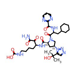 CC(C)(O)c1cnnn1[C@H]1C[C@@H](C(=O)NC(CCCCNC(=O)O)C(=O)C(N)=O)N(C(=O)C(CC2CCCCC2)NC(=O)c2ncccn2)C1